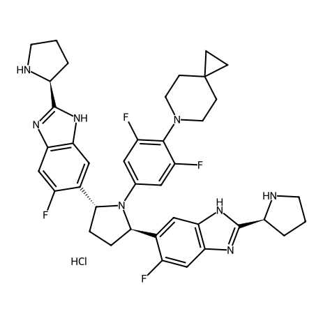 Cl.Fc1cc2nc([C@@H]3CCCN3)[nH]c2cc1[C@H]1CC[C@H](c2cc3[nH]c([C@@H]4CCCN4)nc3cc2F)N1c1cc(F)c(N2CCC3(CC2)CC3)c(F)c1